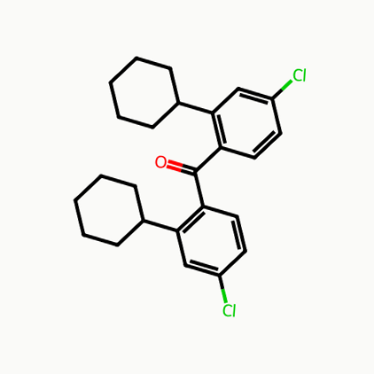 O=C(c1ccc(Cl)cc1C1CCCCC1)c1ccc(Cl)cc1C1CCCCC1